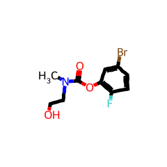 CN(CCO)C(=O)Oc1cc(Br)ccc1F